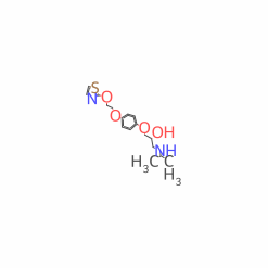 CC(C)NCC(O)COc1ccc(OCCOc2nccs2)cc1